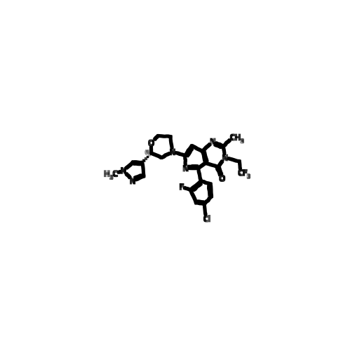 Cc1nc2cc(N3CCO[C@@H](c4cnn(C)c4)C3)nc(-c3ccc(Cl)cc3F)c2c(=O)n1CC(F)(F)F